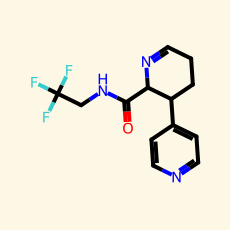 O=C(NCC(F)(F)F)C1N=CCCC1c1ccncc1